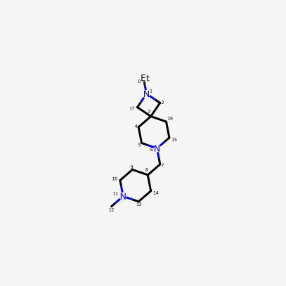 CCN1CC2(CCN(CC3CCN(C)CC3)CC2)C1